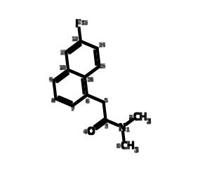 CN(C)C(=O)Cc1cccc2cc(F)ccc12